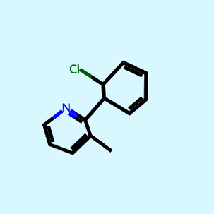 Cc1cccnc1C1C=CC=CC1Cl